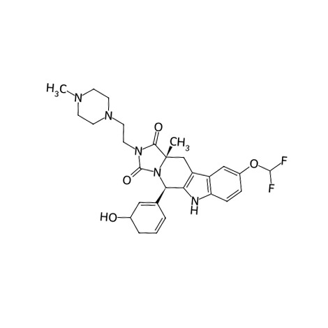 CN1CCN(CCN2C(=O)N3[C@H](C4=CC(O)CC=C4)c4[nH]c5ccc(OC(F)F)cc5c4C[C@@]3(C)C2=O)CC1